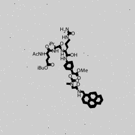 COC(=O)C(OC(=O)N(C)CC(=O)NCc1ccc2c#cc3cccc4ccc1c2c34)c1ccc(NC(O)[C@H](CCCNC(N)=O)NC(=O)[C@@H](NC(=O)[C@H](CCC(=O)OCC(C)C)NC(C)=O)C(C)C)cc1